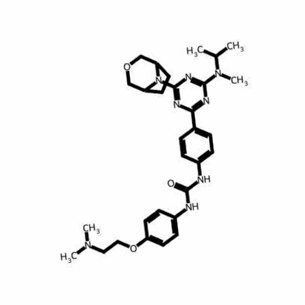 CC(C)N(C)c1nc(-c2ccc(NC(=O)Nc3ccc(OCCN(C)C)cc3)cc2)nc(N2C3CCC2COC3)n1